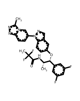 Cc1nnc2ccc(-n3ncc4cc(O[C@H](c5cc(F)cc(F)c5)[C@H](C)NC(=O)C(C)(F)F)ccc43)cn12